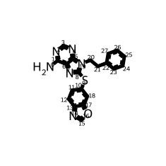 Nc1ncnc2c1nc(Sc1ccc3ncoc3c1)n2CCc1ccccc1